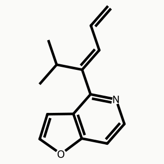 C=C/C=C(/c1nccc2occc12)C(C)C